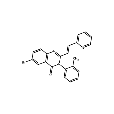 Cc1ccccc1-n1c(/C=C/c2ccccn2)nc2ccc(Br)cc2c1=O